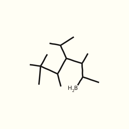 BC(C)C(C)C(C(C)C)C(C)C(C)(C)C